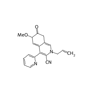 C=CCN1C=C2CC(=O)C(OC)C=C2C(c2ccccn2)=C1C#N